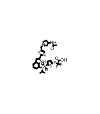 CC(=O)NC1CCN(Cc2cnc(-c3cc4cccc(N(C(C)C)S(=O)(=O)c5cccs5)c4[nH]3)s2)C1.O=C(O)C(F)(F)F